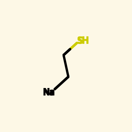 [Na][CH2]CS